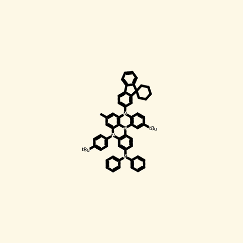 Cc1cc2c3c(c1)N(c1ccc(C(C)(C)C)cc1)c1cc(N(c4ccccc4)c4ccccc4)ccc1B3c1cc(C(C)(C)C)ccc1N2c1ccc2c(c1)C1(CCCCC1)c1ccccc1-2